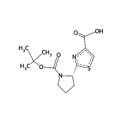 CC(C)(C)OC(=O)N1CCC[C@H]1c1nc(C(=O)O)cs1